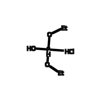 CCO[PH](C)(O)OCC.Cl